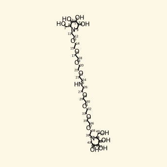 OC[C@H]1[C@H](O)[C@@H](O)[C@@H](O)CN1CCOCCOCCOCCOCCNCCOCCOCCOCCOCCN1C[C@H](O)[C@H](O)[C@@H](O)[C@@H]1CO